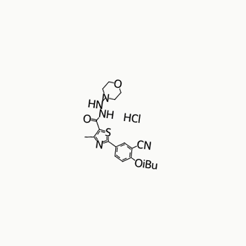 Cc1nc(-c2ccc(OCC(C)C)c(C#N)c2)sc1C(=O)NNN1CCOCC1.Cl